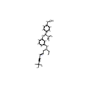 CCN(C/C=C/C#CC(C)(C)C)Cc1cccc(OC(c2ccc(CO)cc2)[SiH](C)C)c1